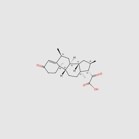 C[C@@H]1C[C@H]2[C@@H]3C[C@H](C)C4=CC(=O)CC[C@]4(C)[C@H]3CC[C@]2(C)[C@H]1C(=O)C(=O)O